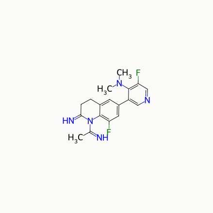 CC(=N)N1C(=N)CCc2cc(-c3cncc(F)c3N(C)C)cc(F)c21